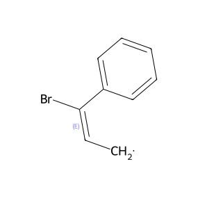 [CH2]/C=C(/Br)c1ccccc1